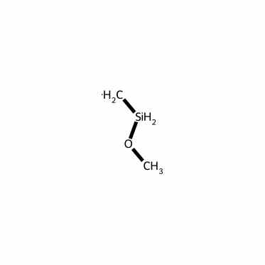 [CH2][SiH2]OC